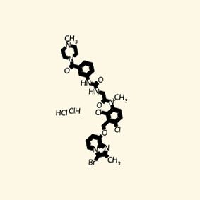 Cc1nc2c(OCc3c(Cl)ccc(N(C)C(=O)CNC(=O)Nc4cccc(C(=O)N5CCN(C)CC5)c4)c3Cl)cccn2c1Br.Cl.Cl